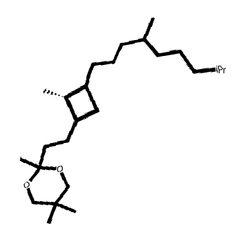 CC(C)CCCC(C)CCCC1CC(CCC2(C)OCC(C)(C)CO2)[C@@H]1C